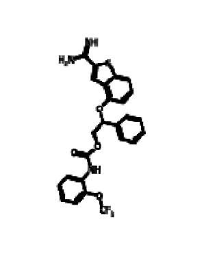 N=C(N)c1cc2c(OC(COC(=O)Nc3ccccc3OC(F)(F)F)c3ccccc3)cccc2s1